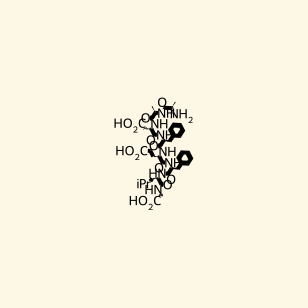 CC(C)C[C@H](NC(=O)[C@H](Cc1ccccc1)NC(=O)[C@H](CCC(=O)O)NC(=O)[C@H](Cc1ccccc1)NC(=O)[C@H](CC(=O)O)NC(=O)[C@H](C)NC(=O)[C@H](C)N)C(=O)NCC(=O)O